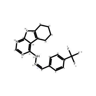 FC(F)(F)c1ccc(/C=N\Nc2ncnc3sc4c(c23)CCCC4)cc1